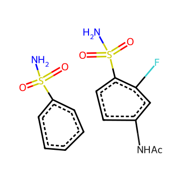 CC(=O)Nc1ccc(S(N)(=O)=O)c(F)c1.NS(=O)(=O)c1ccccc1